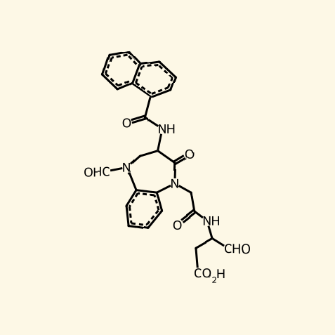 O=CC(CC(=O)O)NC(=O)CN1C(=O)C(NC(=O)c2cccc3ccccc23)CN(C=O)c2ccccc21